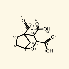 O=C(O)C1OC2COC(C(=O)O)(C2)C1C(=O)O